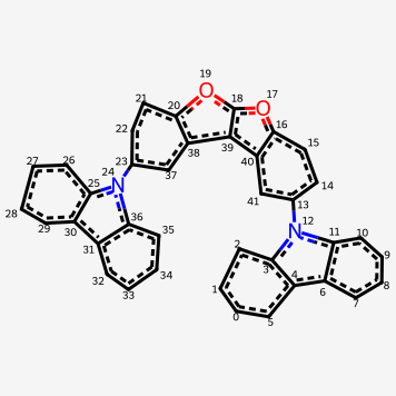 c1ccc2c(c1)c1ccccc1n2-c1ccc2oc3oc4ccc(-n5c6ccccc6c6ccccc65)cc4c3c2c1